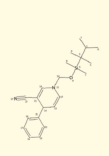 CC(C)C(C)(C)[Si](C)(C)OCN1C=CC(c2ccccc2)C(C#N)=C1